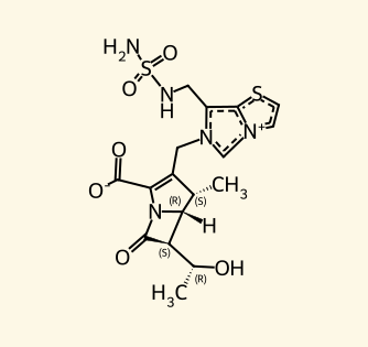 C[C@@H](O)[C@H]1C(=O)N2C(C(=O)[O-])=C(Cn3c[n+]4ccsc4c3CNS(N)(=O)=O)[C@H](C)[C@H]12